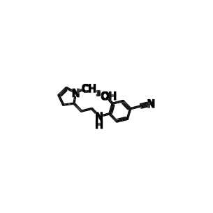 CN1C=CCC1CCNc1ccc(C#N)cc1O